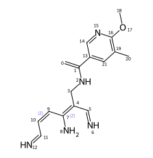 C=C(NC/C(C=N)=C(N)\C=C/C=N)c1cnc(OC)c(C)c1